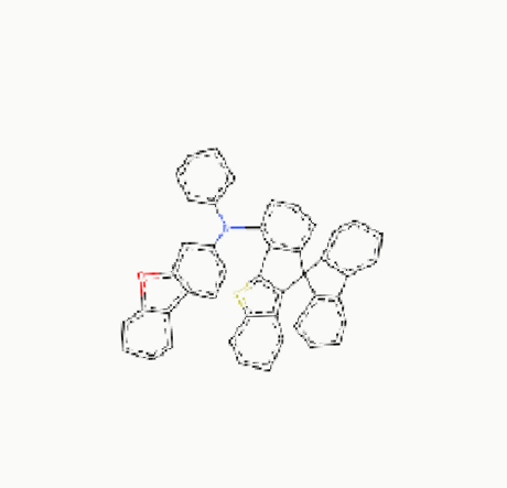 c1ccc(N(c2ccc3c(c2)oc2ccccc23)c2cccc3c2-c2sc4ccccc4c2C32c3ccccc3-c3ccccc32)cc1